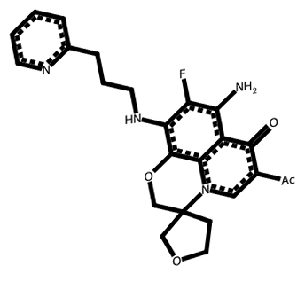 CC(=O)c1cn2c3c(c(NCCCc4ccccn4)c(F)c(N)c3c1=O)OCC21CCOC1